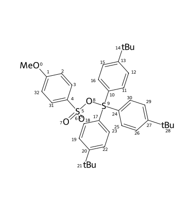 COc1ccc(S(=O)(=O)OS(c2ccc(C(C)(C)C)cc2)(c2ccc(C(C)(C)C)cc2)c2ccc(C(C)(C)C)cc2)cc1